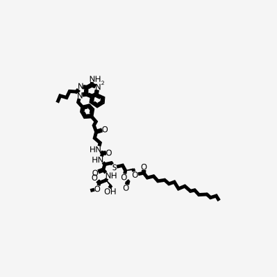 CCCCCCCCCCCCCCCC(=O)OC[C@H](CSCC(NC(=O)NCCC(=O)CCc1ccc(Cn2c(CCCC)nc3c(N)nc4ccccc4c32)cc1)C(=O)N[C@@H](CO)C(=O)OC)OC=O